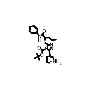 CCCC(Sc1nnc(C(/C=C\F)=C/N)n1C(=O)OC(C)(C)C)C(=O)Nc1ccccc1